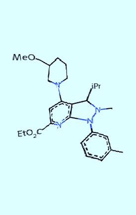 CCOC(=O)c1cc(N2CCCC(OC)C2)c2c(n1)N(c1cccc(C)c1)N(C)C2C(C)C